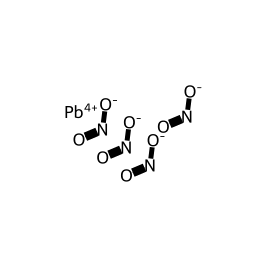 O=N[O-].O=N[O-].O=N[O-].O=N[O-].[Pb+4]